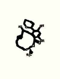 C=C[C@@H]1C/C=C/CC/C=C/C(O)Cc2c(c(O)cc(O)c2C2CCCCO2)C(=O)O1